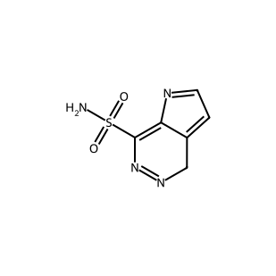 NS(=O)(=O)C1=C2N=CC=C2CN=N1